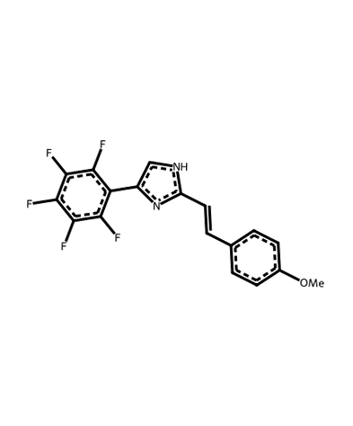 COc1ccc(C=Cc2nc(-c3c(F)c(F)c(F)c(F)c3F)c[nH]2)cc1